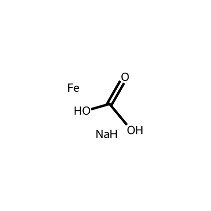 O=C(O)O.[Fe].[NaH]